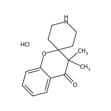 CC1(C)C(=O)c2ccccc2OC12CCNCC2.Cl